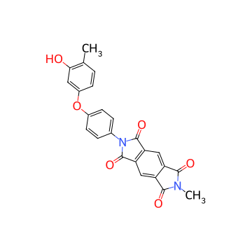 Cc1ccc(Oc2ccc(-n3c(=O)c4cc5c(=O)n(C)c(=O)c5cc4c3=O)cc2)cc1O